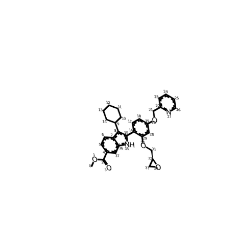 COC(=O)c1ccc2c(C3CCCCC3)c(-c3ccc(OCc4ccccn4)cc3OC[C@@H]3CO3)[nH]c2c1